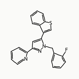 Fc1ccccc1Cn1nc(-c2ccccn2)cc1-c1csc2ccccc12